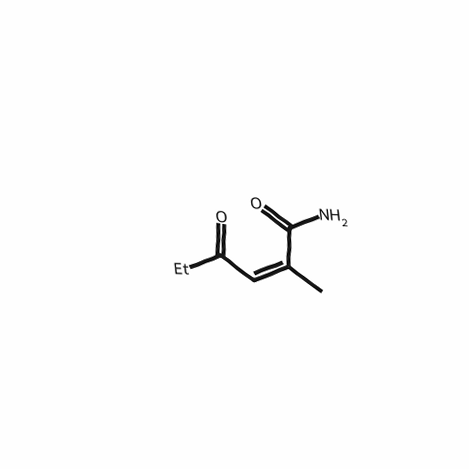 CCC(=O)C=C(C)C(N)=O